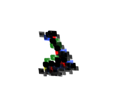 CCCCN(C)C(=O)Nc1ccc(Cl)c(Cl)c1.CN(C)C(=O)N(Oc1ccc(Cl)cc1)c1ccccc1.CN(C)C(=O)Nc1ccc(Cl)c(Cl)c1.CN(C)C(=O)Nc1ccc(Cl)cc1.CNC(=O)N(C)c1nc2ccccc2s1.Cc1ccc(NC(=O)N(C)C)cc1Cl